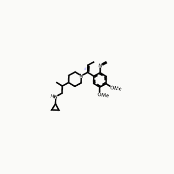 C=Nc1cc(OC)c(OC)cc1/C(=C\C)N1CCC(C(C)CNC2CC2)CC1